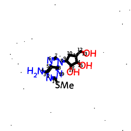 CSc1nc(N)c2ncn(C3CC(CO)C(O)C3O)c2n1